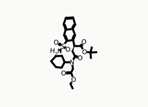 CCOC(=O)CN(C(=O)C[C@H](C(=O)OC(C)(C)C)c1cc2ccccc2cc1S(N)(=O)=O)C1CCCCC1